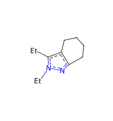 CCc1c2c(nn1CC)CCCC2